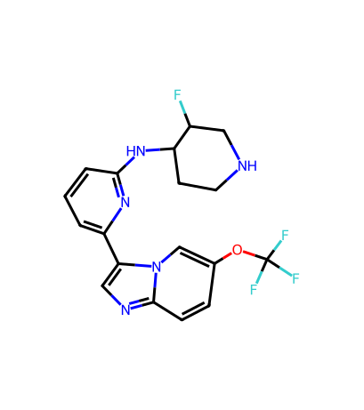 FC1CNCCC1Nc1cccc(-c2cnc3ccc(OC(F)(F)F)cn23)n1